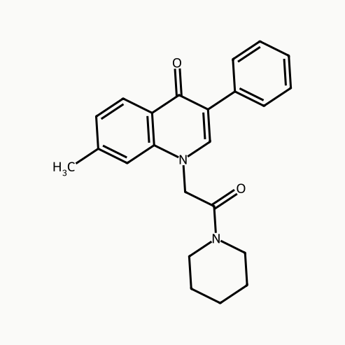 Cc1ccc2c(=O)c(-c3ccccc3)cn(CC(=O)N3CCCCC3)c2c1